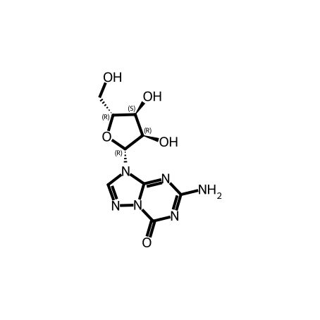 Nc1nc(=O)n2ncn([C@@H]3O[C@H](CO)[C@@H](O)[C@H]3O)c2n1